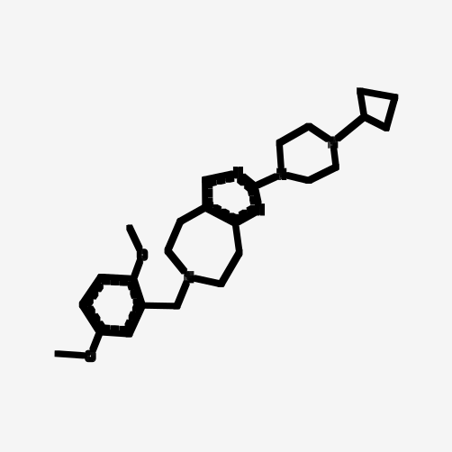 COc1ccc(OC)c(CN2CCc3cnc(N4CCN(C5CCC5)CC4)nc3CC2)c1